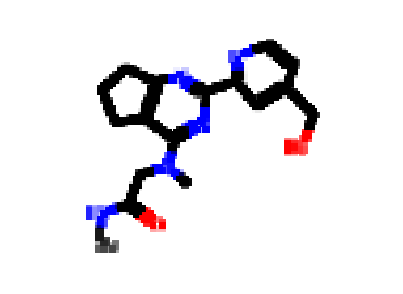 CN(CC(=O)NC(C)(C)C)c1nc(-c2cc(CO)ccn2)nc2c1CCC2